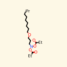 CCC(=O)ON(CCCOCCCCCCCC(C)C)OC(=O)CC